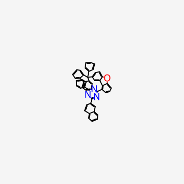 c1ccc(-c2nc(-c3ccc4ccccc4c3)nc(-c3cccc4oc5ccc(C6(c7ccccc7)c7ccccc7-c7ccccc76)cc5c34)n2)cc1